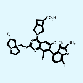 N#Cc1c(N)sc2c(F)ccc(-c3c(Cl)cc4c(N5CC6CC(C(=O)O)C6C5)nc(OC[C@@]56CCCN5C[C@H](F)C6)nc4c3F)c12